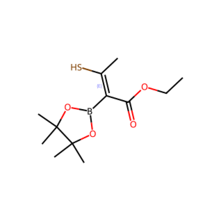 CCOC(=O)/C(B1OC(C)(C)C(C)(C)O1)=C(\C)S